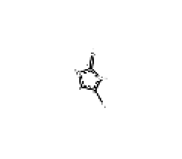 O=c1occ(I)o1